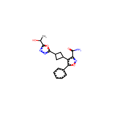 CC(O)c1nnc(C2CC(c3c(C(N)=O)noc3-c3ccccc3)C2)o1